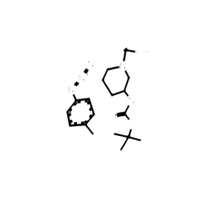 CC(C)(C)OC(=O)NC1CCCN(C(=O)O)C1.Cc1ccc(N=[N+]=[N-])cc1